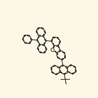 CC(C)(C)c1c2ccccc2c(-c2ccc3c(c2)oc2c(-c4c5ccccc5c(-c5ccccc5)c5ccccc45)cccc23)c2ccccc12